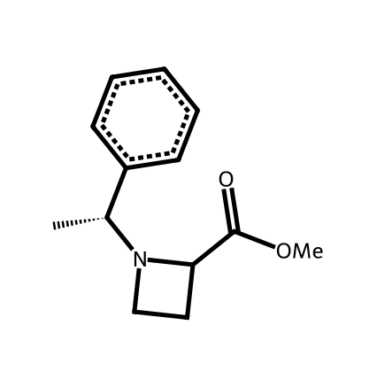 COC(=O)C1CCN1[C@H](C)c1ccccc1